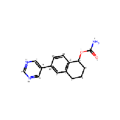 NC(=O)OC1CCCc2cc(-c3cncnc3)ccc21